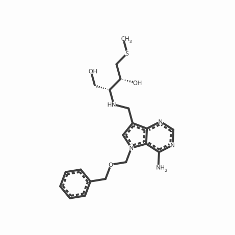 CSC[C@H](O)[C@@H](CO)NCc1cn(COCc2ccccc2)c2c(N)ncnc12